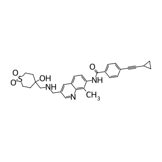 Cc1c(NC(=O)c2ccc(C#CC3CC3)cc2)ccc2cc(CNCC3(O)CCS(=O)(=O)CC3)cnc12